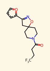 O=C(CCC(F)(F)F)N1CCC2(CC1)CC(c1ccco1)=NO2